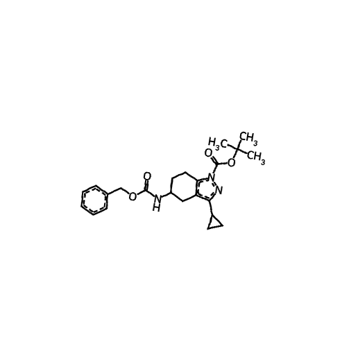 CC(C)(C)OC(=O)n1nc(C2CC2)c2c1CCC(NC(=O)OCc1ccccc1)C2